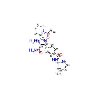 C=CC(=O)N1CCCCC1c1nc(-c2ccc(C(=O)Nc3cc(CC)ccn3)cc2)c(C(N)=O)n1N